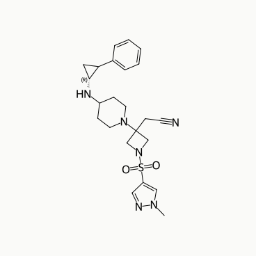 Cn1cc(S(=O)(=O)N2CC(CC#N)(N3CCC(N[C@@H]4CC4c4ccccc4)CC3)C2)cn1